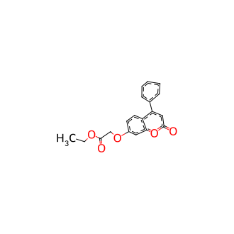 CCOC(=O)COc1ccc2c(-c3ccccc3)cc(=O)oc2c1